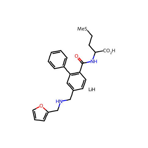 CSCCC(NC(=O)c1ccc(CNCc2ccco2)cc1-c1ccccc1)C(=O)O.[LiH]